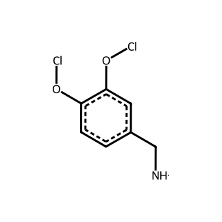 [NH]Cc1ccc(OCl)c(OCl)c1